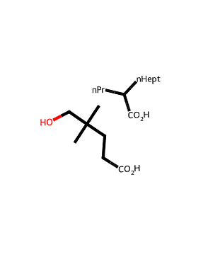 CC(C)(CO)CCC(=O)O.CCCCCCCC(CCC)C(=O)O